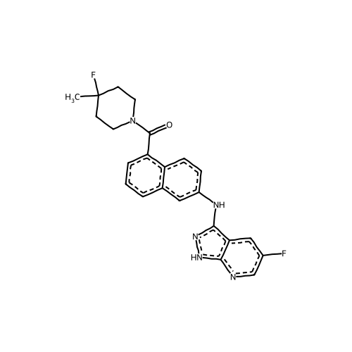 CC1(F)CCN(C(=O)c2cccc3cc(Nc4n[nH]c5ncc(F)cc45)ccc23)CC1